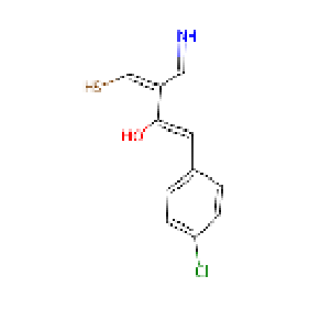 N=CC(=C/S)/C(O)=C/c1ccc(Cl)cc1